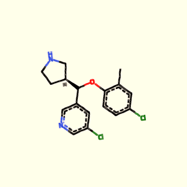 Cc1cc(Cl)ccc1OC(c1cncc(Cl)c1)[C@H]1CCNC1